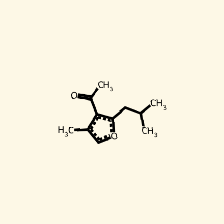 CC(=O)c1c(C)coc1CC(C)C